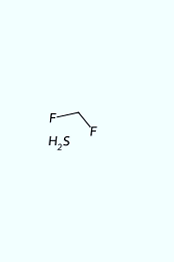 FCF.S